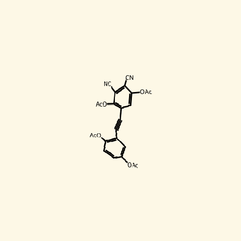 CC(=O)Oc1ccc(OC(C)=O)c(C#Cc2cc(OC(C)=O)c(C#N)c(C#N)c2OC(C)=O)c1